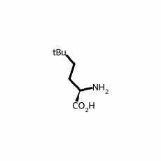 CC(C)(C)CC[C@@H](N)C(=O)O